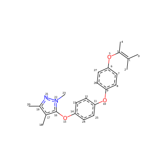 CC(C)=C(C)Oc1ccc(Oc2ccc(Oc3c(C)c(C)nn3C)cc2)cc1